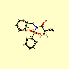 C=C(C)C(=O)N(Cc1ccccc1)S(=O)(=O)c1ccccc1